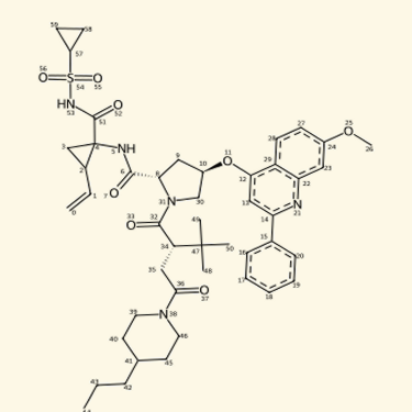 C=CC1CC1(NC(=O)[C@@H]1C[C@@H](Oc2cc(-c3ccccc3)nc3cc(OC)ccc23)CN1C(=O)[C@@H](CC(=O)N1CCC(CCC)CC1)C(C)(C)C)C(=O)NS(=O)(=O)C1CC1